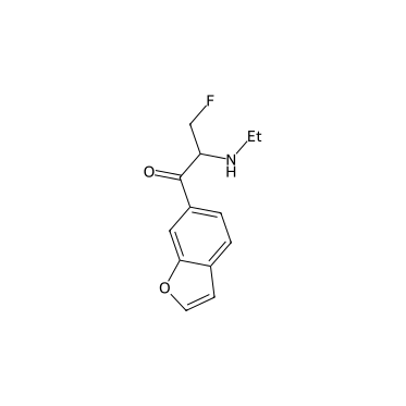 CCNC(CF)C(=O)c1ccc2ccoc2c1